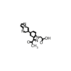 CC(=O)c1nn(CC(=O)O)c2ccc(-c3cnc4ccnn4c3)cc12